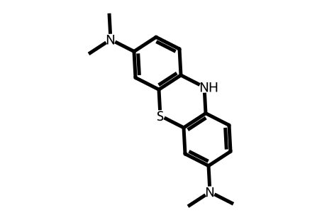 CN(C)c1ccc2c(c1)Sc1cc(N(C)C)ccc1N2